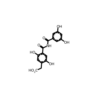 O=C(O)Cc1cc(O)c(C(=O)NC(=O)c2cc(O)cc(O)c2)cc1O